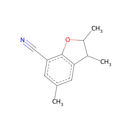 Cc1cc(C#N)c2c(c1)C(C)C(C)O2